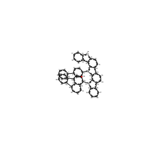 c1ccc(-c2ccc(-n3c4c(ccc5oc6ccccc6c54)c4ccc5c6ccccc6n(-c6ccc7c8c(cccc68)-c6ccccc6-7)c5c43)cc2)cc1